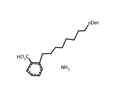 CCCCCCCCCCCCCCCCCCc1ccccc1C(=O)O.N